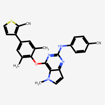 Cc1cc(-c2ccsc2C#N)cc(C)c1Oc1nc(Nc2ccc(C#N)cc2)nc2ccn(C)c12